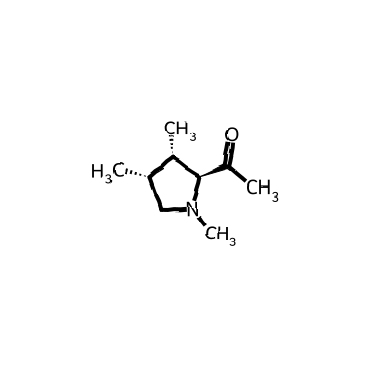 CC(=O)[C@@H]1[C@@H](C)[C@@H](C)CN1C